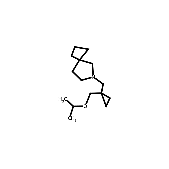 CC(C)OCC1(CN2CCC3(CCC3)C2)CC1